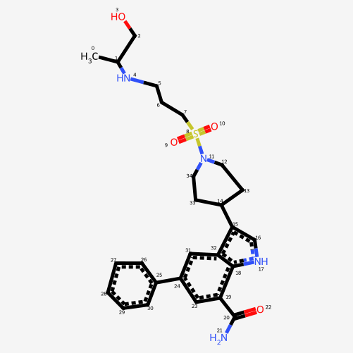 CC(CO)NCCCS(=O)(=O)N1CCC(c2c[nH]c3c(C(N)=O)cc(-c4ccccc4)cc23)CC1